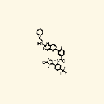 Cc1ccc(C(=O)Nc2cc(C(F)(F)F)ccc2C2CNC(=O)N2C)cc1-c1ccc2nc(NCCN3CCCCC3)ncc2c1